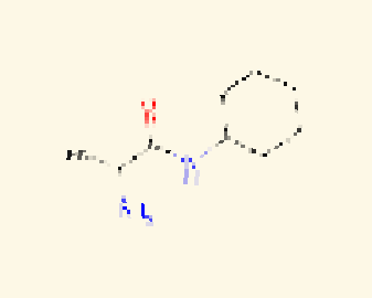 CC[C@@H](N)C(=O)NC1CCCCC1